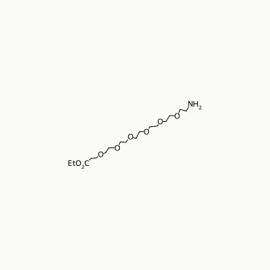 CCOC(=O)CCOCCOCCOCCOCCOCCOCCN